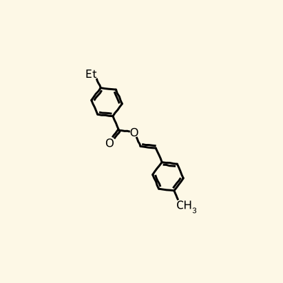 CCc1ccc(C(=O)OC=Cc2ccc(C)cc2)cc1